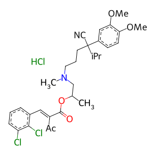 COc1ccc(C(C#N)(CCCN(C)CC(C)OC(=O)C(=Cc2cccc(Cl)c2Cl)C(C)=O)C(C)C)cc1OC.Cl